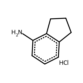 Cl.Nc1cccc2c1CCC2